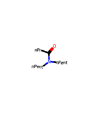 [CH2]CCC(=O)N(CCCCC)CCCCC